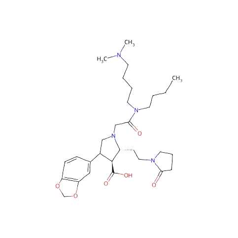 CCCCN(CCCCN(C)C)C(=O)CN1CC(c2ccc3c(c2)OCO3)[C@H](C(=O)O)[C@H]1CCN1CCCC1=O